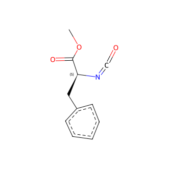 COC(=O)[C@H](Cc1ccccc1)N=C=O